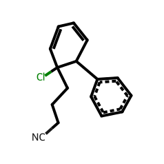 N#CCCCC1(Cl)C=CC=CC1c1ccccc1